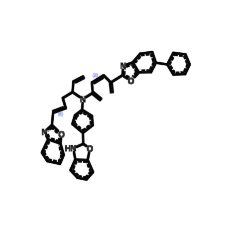 C=CC(C/C=C/c1nc2ccccc2o1)N(C(=C)/C=C\C(=C)c1nc2ccc(-c3ccccc3)cc2o1)c1ccc(C2Nc3ccccc3O2)cc1